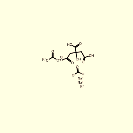 O=C(O)CC(O)(CC(=O)O)C(=O)O.O=C([O-])[O-].O=C([O-])[O-].[K+].[K+].[Na+].[Na+]